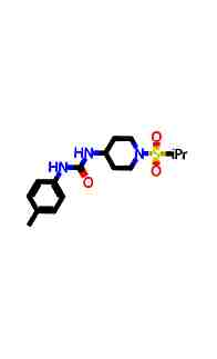 Cc1ccc(NC(=O)NC2CCN(S(=O)(=O)C(C)C)CC2)cc1